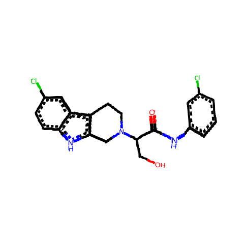 O=C(Nc1cccc(Cl)c1)C(CO)N1CCc2c([nH]c3ccc(Cl)cc23)C1